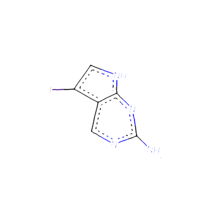 Nc1ncc2c(I)c[nH]c2n1